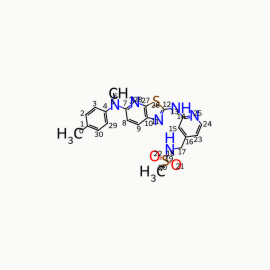 Cc1ccc(N(C)c2ccc3nc(Nc4cc(CNS(C)(=O)=O)ccn4)sc3n2)cc1